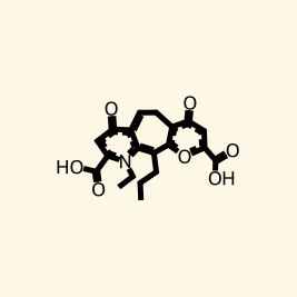 CCCC1=c2c(c(=O)cc(C(=O)O)n2CC)=CCc2c1oc(C(=O)O)cc2=O